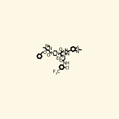 CCc1c(N2CCN(C(=O)c3ncnc(C)c3OCc3ccccc3)CC2)c(=O)n2nc(-c3ccc4sc(C)nc4c3)nc2n1CC(=O)Nc1ccc(C(F)(F)F)cc1Cl